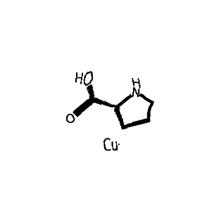 O=C(O)[C@@H]1CCCN1.[Cu]